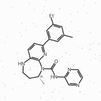 CCc1cc(C)cc(-c2ccc3c(n2)N(C(=O)Nc2cnccn2)[C@H](C)CCN3)c1